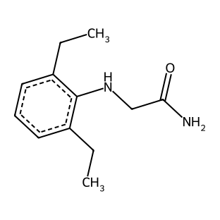 CCc1cccc(CC)c1NCC(N)=O